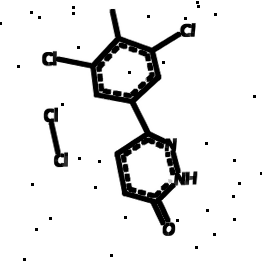 Cc1c(Cl)cc(-c2ccc(=O)[nH]n2)cc1Cl.ClCl